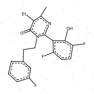 CCc1c(C)nc(-c2c(F)ccc(F)c2O)n(CCc2cccc(F)c2)c1=O